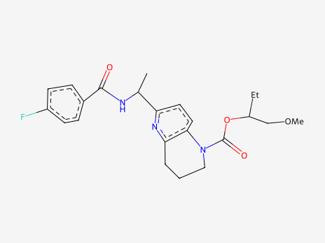 CCC(COC)OC(=O)N1CCCc2nc(C(C)NC(=O)c3ccc(F)cc3)ccc21